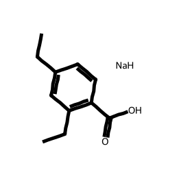 CCc1ccc(C(=O)O)c(CC)c1.[NaH]